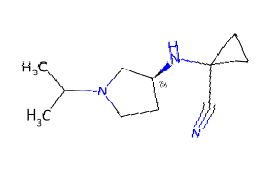 CC(C)N1CC[C@H](NC2(C#N)CC2)C1